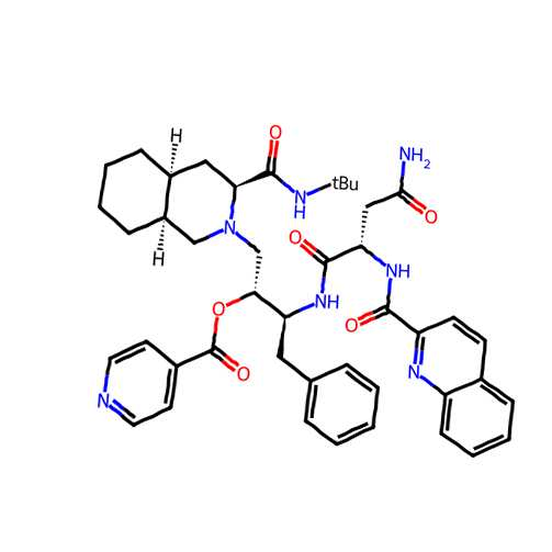 CC(C)(C)NC(=O)[C@@H]1C[C@@H]2CCCC[C@@H]2CN1C[C@@H](OC(=O)c1ccncc1)[C@H](Cc1ccccc1)NC(=O)[C@H](CC(N)=O)NC(=O)c1ccc2ccccc2n1